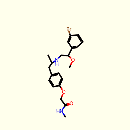 CNC(=O)COc1ccc(CC(C)NCC(OC)c2cccc(Br)c2)cc1